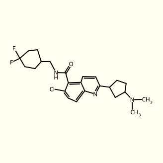 CN(C)C1CCC(c2ccc3c(C(=O)NCC4CCC(F)(F)CC4)c(Cl)ccc3n2)C1